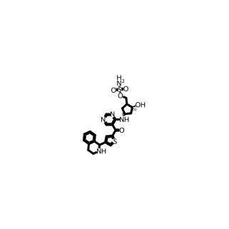 NS(=O)(=O)OCC1C[C@@H](Nc2ncncc2C(=O)c2cc(C3NCCc4ccccc43)cs2)C[C@@H]1O